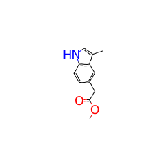 COC(=O)Cc1ccc2[nH]cc(C)c2c1